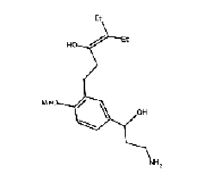 CCC(CC)=C(O)CCc1cc(C(O)CCN)ccc1OC